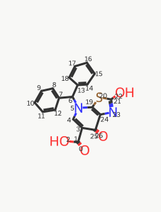 O=C(O)c1cn(C(c2ccccc2)c2ccccc2)c2sc(O)nc2c1=O